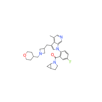 Cc1cncc2c1c(CC1CN(CC3CCOCC3)C1)cn2-c1ccc(F)cc1C(=O)N1CCC2CC21